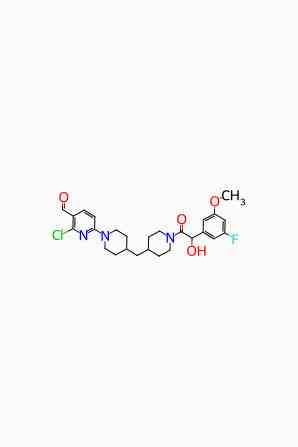 COc1cc(F)cc(C(O)C(=O)N2CCC(CC3CCN(c4ccc(C=O)c(Cl)n4)CC3)CC2)c1